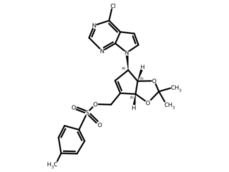 Cc1ccc(S(=O)(=O)OCC2=C[C@@H](n3ccc4c(Cl)ncnc43)[C@@H]3OC(C)(C)O[C@H]23)cc1